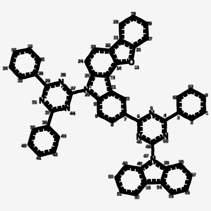 c1ccc(-c2nc(-c3ccc4c(c3)c3c5oc6ccccc6c5ccc3n4-c3nc(-c4ccccc4)nc(-c4ccccc4)n3)nc(-n3c4ccccc4c4ccccc43)n2)cc1